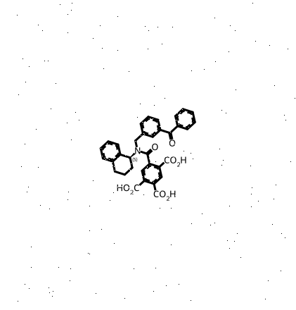 O=C(c1ccccc1)c1cccc(CN(C(=O)c2cc(C(=O)O)c(C(=O)O)cc2C(=O)O)[C@H]2CCCc3ccccc32)c1